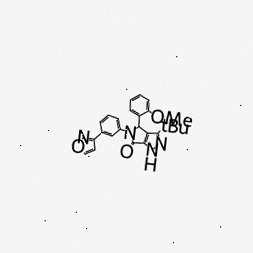 COc1ccccc1C1c2c(C(C)(C)C)n[nH]c2C(=O)N1c1cccc(-c2ccon2)c1